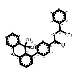 CC1(C)c2ccccc2Oc2cccc(-c3ccc(C(=N)SC(N)c4ccccc4)cc3)c21